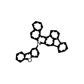 c1ccc2c(c1)-c1cccc3c1c-2cc1c3c2c3ccccc3ccc2n1-c1ccc2oc3ccccc3c2c1